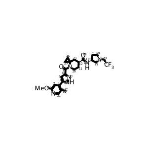 COc1cc(-c2cc(C(=O)N3CC[C@H](C(=O)N[C@@H]4CCN(CC(F)(F)F)C4)CC34CC4)n[nH]2)c(F)cn1